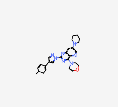 CC1C=CC(c2cnn(-c3nc(N4CCOCC4)c4ncc(N5CCCCC5)cc4n3)c2)=CC1